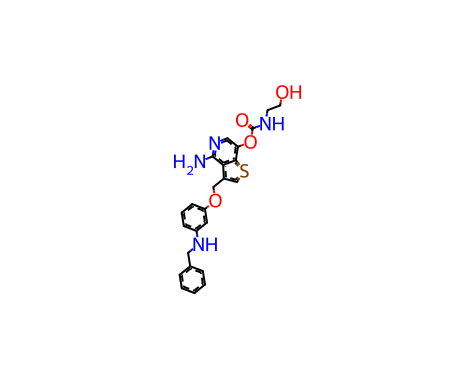 Nc1ncc(OC(=O)NCCO)c2scc(COc3cccc(NCc4ccccc4)c3)c12